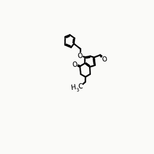 CCC1CC(=O)c2c(cc(C=O)cc2OCc2ccccc2)C1